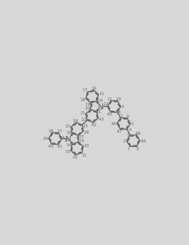 c1ccc(-c2ccc(-c3cccc(-n4c5ccccc5c5cc(-c6ccc7c(c6)c6ccccc6n7-c6ccccc6)ccc54)c3)cc2)cc1